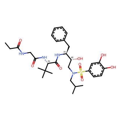 CCC(=O)NCC(=O)N[C@H](C(=O)N[C@@H](Cc1ccccc1)[C@H](O)CN(CC(C)C)S(=O)(=O)c1ccc(O)c(O)c1)C(C)(C)C